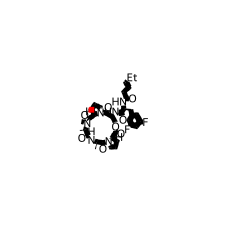 CC/C=C/CC(=O)N[C@@H](Cc1cc(F)cc(F)c1)C(=O)N[C@H]1COC(=O)[C@@H]2CCCN2C(=O)[C@H](C)NC(=O)[C@H](C)N(C)C(=O)[C@@H]2CCCN2C1=O